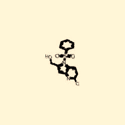 O=S(=O)(c1ccccc1)n1c(CO)cc2nc(Cl)ccc21